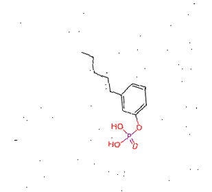 CCCCCc1cccc(OP(=O)(O)O)c1